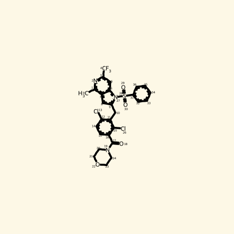 Cc1nc(C(F)(F)F)cc2c1cc(Cc1c(Cl)ccc(C(=O)N3CCOCC3)c1Cl)n2S(=O)(=O)c1ccccc1